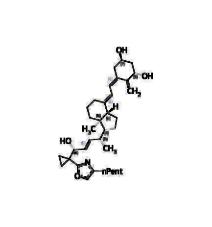 C=C1/C(=C\C=C2/CCC[C@]3(C)[C@@H]([C@H](C)/C=C/[C@@H](O)C4(c5nc(CCCCC)co5)CC4)CC[C@@H]23)C[C@@H](O)C[C@@H]1O